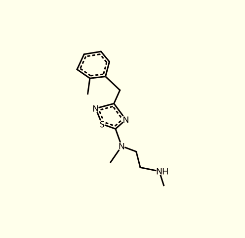 CNCCN(C)c1nc(Cc2ccccc2C)ns1